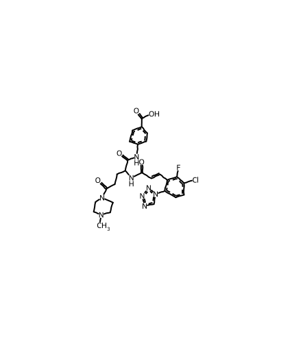 CN1CCN(C(=O)CCC(NC(=O)C=Cc2c(-n3cnnn3)ccc(Cl)c2F)C(=O)Nc2ccc(C(=O)O)cc2)CC1